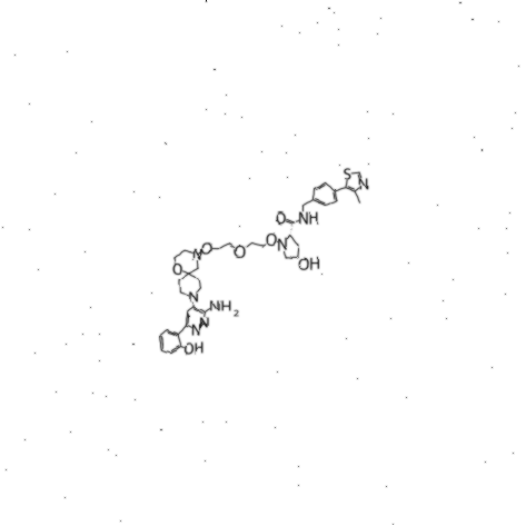 Cc1ncsc1-c1ccc(CNC(=O)[C@@H]2C[C@@H](O)CN2OCCOCCON2CCOC3(CCN(c4cc(-c5ccccc5O)nnc4N)CC3)C2)cc1